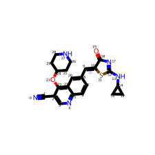 N#Cc1cnc2ccc(/C=C3\SC(NC4CC4)=NC3=O)cc2c1OC1CCNCC1